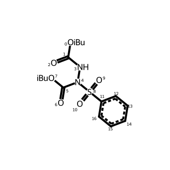 CC(C)COC(=O)NN(C(=O)OCC(C)C)S(=O)(=O)c1ccccc1